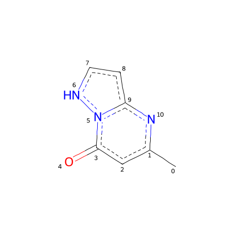 Cc1cc(=O)n2[nH]ccc2n1